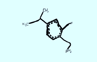 BCc1ccc(C(C)C)cc1F